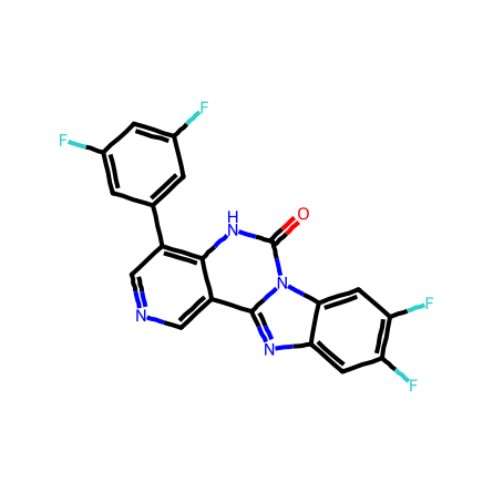 O=c1[nH]c2c(-c3cc(F)cc(F)c3)cncc2c2nc3cc(F)c(F)cc3n12